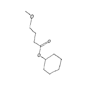 COCCCC(=O)OC1CCCCC1